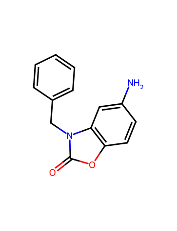 Nc1ccc2oc(=O)n(Cc3ccccc3)c2c1